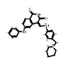 O=C1NC(=O)c2ccc(Nc3ccccc3)cc2/C1=C/Nc1ccc(CN2CCCCC2)cc1